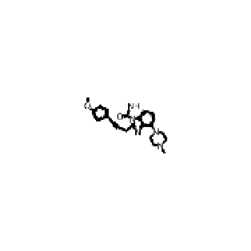 COc1ccc(C#CCc2nc3c(N4CCN(C)CC4)cccc3n2C(N)=O)cc1